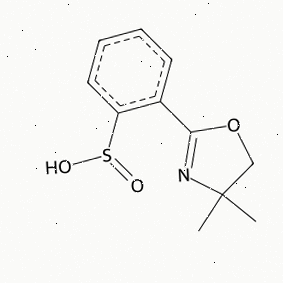 CC1(C)COC(c2ccccc2S(=O)O)=N1